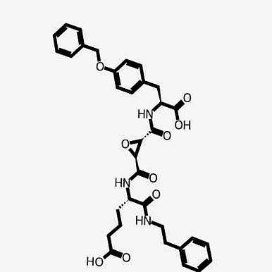 O=C(O)CCC[C@H](NC(=O)[C@H]1O[C@@H]1C(=O)N[C@@H](Cc1ccc(OCc2ccccc2)cc1)C(=O)O)C(=O)NCCc1ccccc1